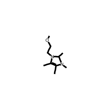 COCCN1C(C)=C(C)N(C)C1C